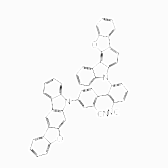 N#Cc1cc(-n2c3ccccc3c3cc4c(cc32)oc2ccccc24)ccc1-c1c(C#N)cccc1-n1c2ccccc2c2c3oc4ccccc4c3ccc21